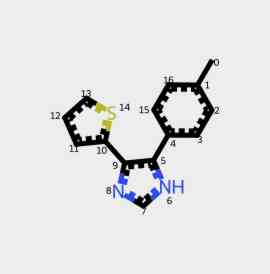 Cc1ccc(-c2[nH]cnc2-c2cccs2)cc1